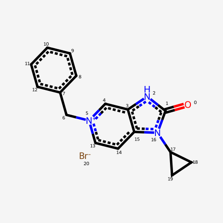 O=c1[nH]c2c[n+](Cc3ccccc3)ccc2n1C1CC1.[Br-]